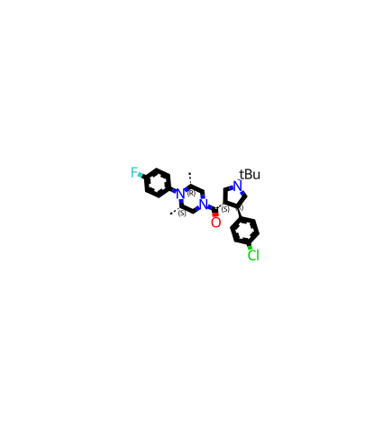 C[C@@H]1CN(C(=O)[C@@H]2CN(C(C)(C)C)C[C@H]2c2ccc(Cl)cc2)C[C@H](C)N1c1ccc(F)cc1